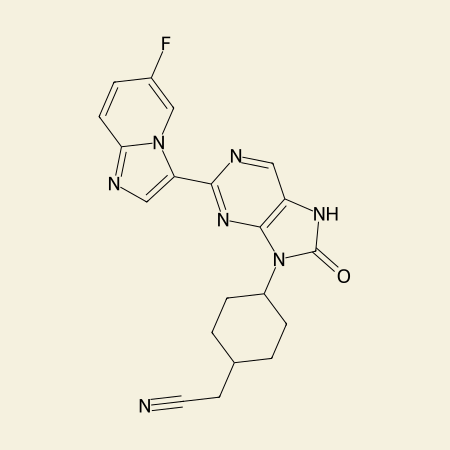 N#CCC1CCC(n2c(=O)[nH]c3cnc(-c4cnc5ccc(F)cn45)nc32)CC1